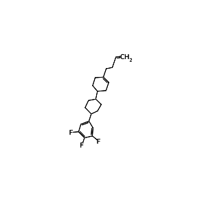 C=CCCC1=CCC(C2CCC(c3cc(F)c(F)c(F)c3)CC2)CC1